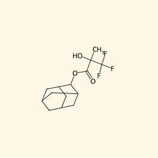 CC(O)(C(=O)OC1C2CC3CC(C2)CC1C3)C(F)(F)F